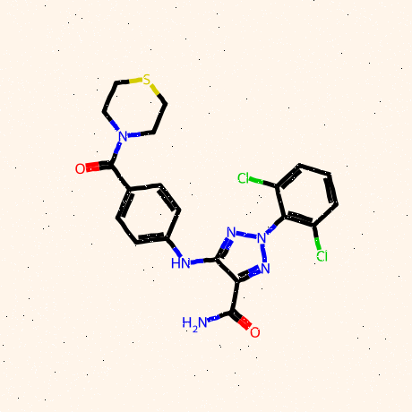 NC(=O)c1nn(-c2c(Cl)cccc2Cl)nc1Nc1ccc(C(=O)N2CCSCC2)cc1